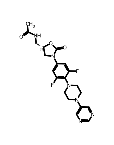 CC(=O)NC[C@H]1CN(c2cc(F)c(N3CCN(c4cncnc4)CC3)c(F)c2)C(=O)O1